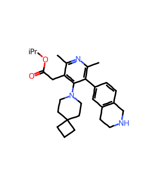 Cc1nc(C)c(-c2ccc3c(c2)CCNC3)c(N2CCC3(CCC3)CC2)c1CC(=O)OC(C)C